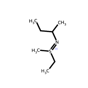 CCC(C)/N=S(\C)CC